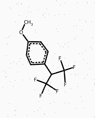 COc1ccc([C](C(F)(F)F)C(F)(F)F)cc1